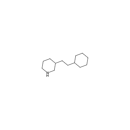 C1CCC(CCC2CCCNC2)CC1